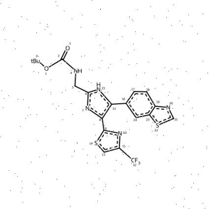 CC(C)(C)OC(=O)NCc1nc(-c2nc(C(F)(F)F)cs2)c(-c2ccc3ncsc3c2)[nH]1